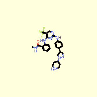 CNC(=O)c1ccccc1Nc1nc(Nc2ccc(-c3cnn(C4CCNCC4)c3)cc2)ncc1C(F)(F)F